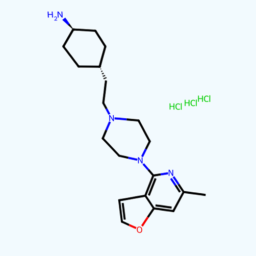 Cc1cc2occc2c(N2CCN(CC[C@H]3CC[C@H](N)CC3)CC2)n1.Cl.Cl.Cl